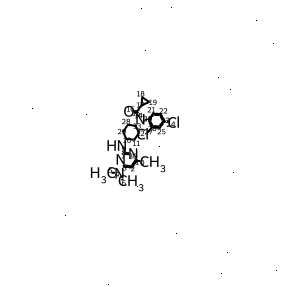 Cc1cc(N(C)C)nc(N[C@H]2CC[C@@H](N(C(=O)C3CC3)c3ccc(Cl)cc3Cl)CC2)n1